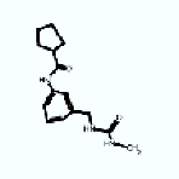 CNC(=O)NCc1cccc(NC(=O)C2CCCC2)c1